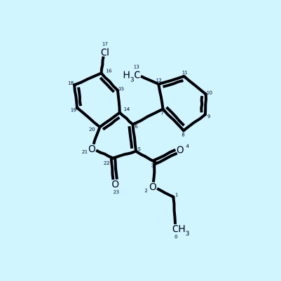 CCOC(=O)c1c(-c2ccccc2C)c2cc(Cl)ccc2oc1=O